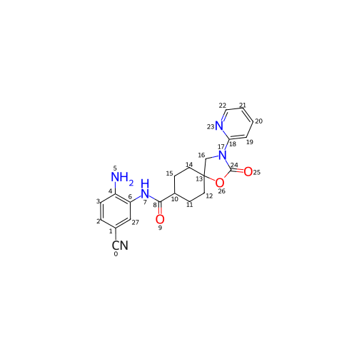 N#Cc1ccc(N)c(NC(=O)C2CCC3(CC2)CN(c2ccccn2)C(=O)O3)c1